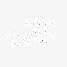 CSCC[C@H](NS(=O)(=O)c1cc(C)cc(N(C)c2nccc(N)n2)c1)C(=O)Oc1n[nH]c2cc(C)c(F)cc12